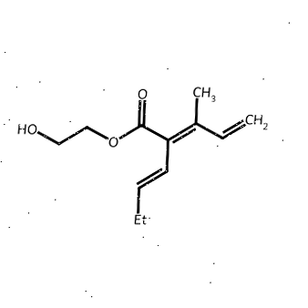 C=CC(C)=C(C=CCC)C(=O)OCCO